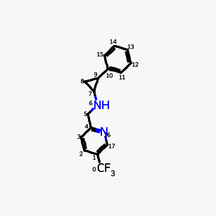 FC(F)(F)c1ccc(CNC2CC2c2ccccc2)nc1